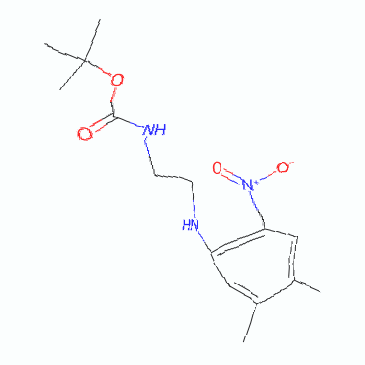 Cc1cc(NCCNC(=O)OC(C)(C)C)c([N+](=O)[O-])cc1C